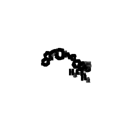 CC1(C)C(=O)Nc2cc(OCCN3CCCN(Cc4ccc5ccccc5n4)CC3)ccc21